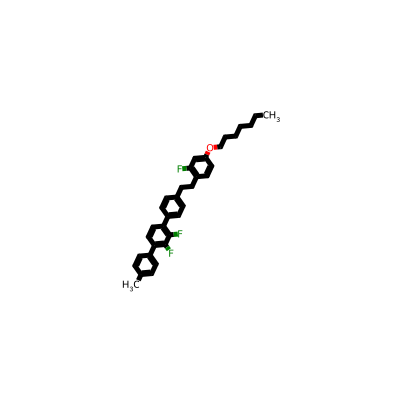 CCCCCCCOc1ccc(CCc2ccc(-c3ccc(-c4ccc(C)cc4)c(F)c3F)cc2)c(F)c1